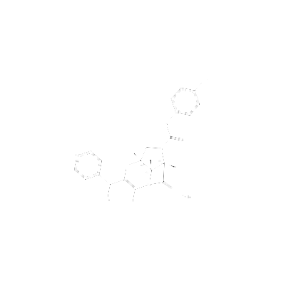 O=C(O)C1=C(C(S)c2ccncc2)O[C@@H]2CN(C(=O)Nc3ccc(O)cc3)[C@@H]3C(=O)N1[C@@H]32.[NaH]